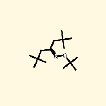 CC(C)(C)CC(CC(C)(C)C)=NOC(C)(C)C